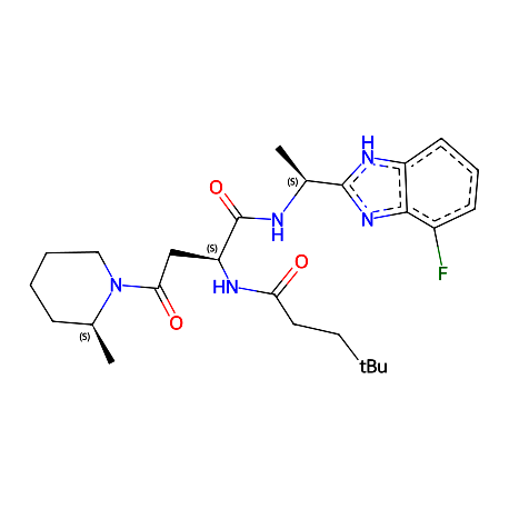 C[C@H](NC(=O)[C@H](CC(=O)N1CCCC[C@@H]1C)NC(=O)CCC(C)(C)C)c1nc2c(F)cccc2[nH]1